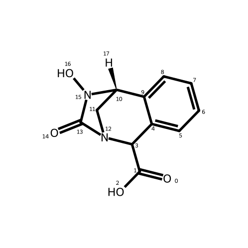 O=C(O)C1c2ccccc2[C@@H]2CN1C(=O)N2O